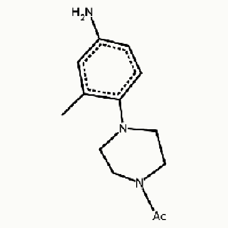 CC(=O)N1CCN(c2ccc(N)cc2C)CC1